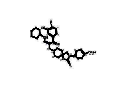 N=C(/C(=C\NC1CCCCC1)CN1CCC2(CC1)CN(c1ccc(C(=O)O)cc1)C(=O)O2)c1ccc(F)c(Cl)c1